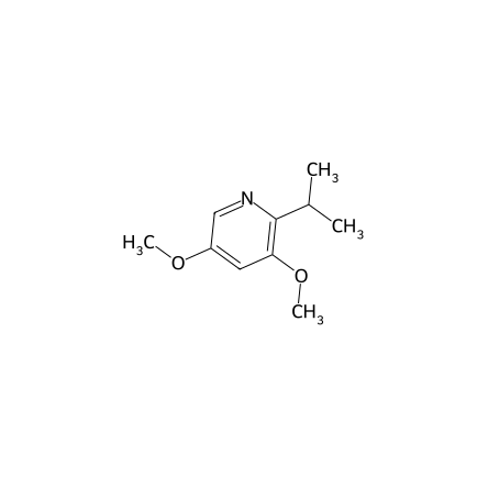 COc1cnc(C(C)C)c(OC)c1